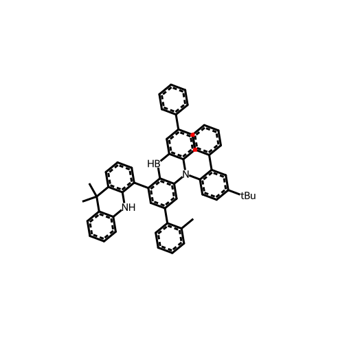 Cc1ccccc1-c1cc(-c2cccc3c2Nc2ccccc2C3(C)C)c2c(c1)N(c1ccc(C(C)(C)C)cc1-c1ccccc1)c1ccc(-c3ccccc3)cc1B2